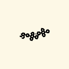 C=Cc1cccc(-c2ccc(-c3c4ccccc4c(-c4cccc5c4sc4ccc(-c6c7ccccc7c(-c7ccccc7)c7ccccc67)cc45)c4ccccc34)cc2)c1/C=C\C